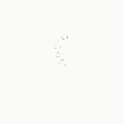 CN(C)CCOc1ccc(-n2ccn(-c3ccc(Oc4ncccn4)c(Cl)c3)c2=O)cc1